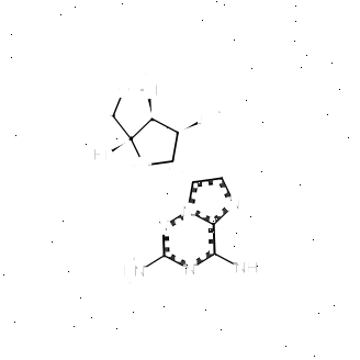 CC[C@]1(CO)O[C@@H](c2cnc3c(N)nc(N)nn23)[C@H](F)[C@@H]1O